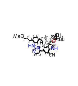 COCCCc1ccc(C#N)cc1Nc1nccc(-c2cc(C#N)c3c(c2)[C@@](C)(CO[Si](C)(C)C(C)(C)C)CN3)n1